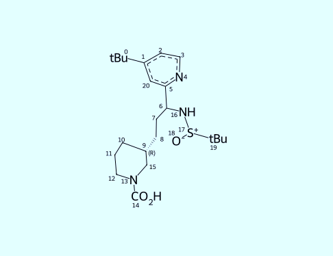 CC(C)(C)c1ccnc(C(CC[C@H]2CCCN(C(=O)O)C2)N[S+]([O-])C(C)(C)C)c1